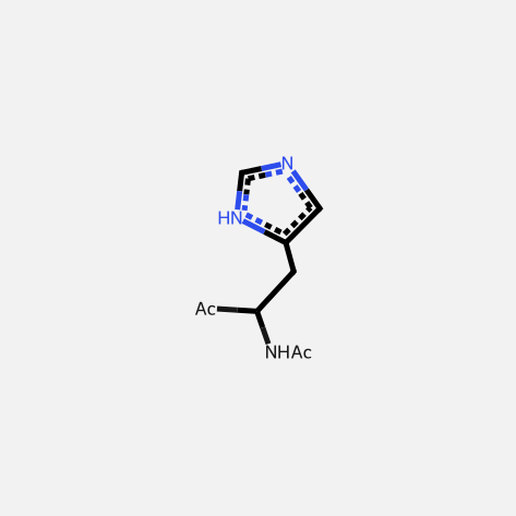 CC(=O)NC(Cc1cnc[nH]1)C(C)=O